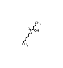 CCCCCCOC(=O)C(O)CCC